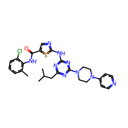 Cc1cccc(Cl)c1NC(=O)c1cnc(Nc2nc(CC(C)C)nc(N3CCN(c4ccncc4)CC3)n2)s1